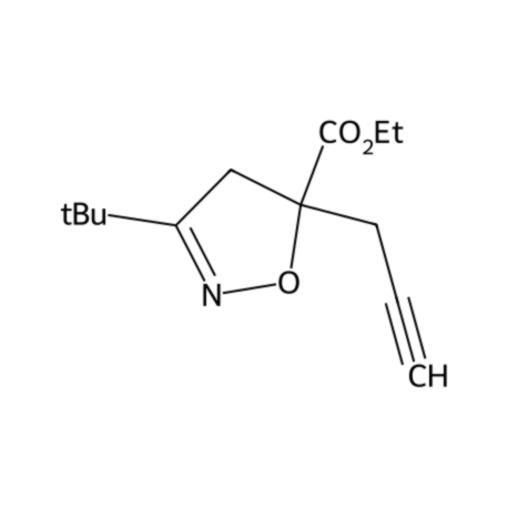 C#CCC1(C(=O)OCC)CC(C(C)(C)C)=NO1